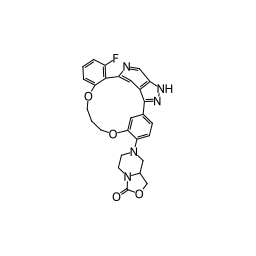 O=C1OCC2CN(c3ccc4cc3OCCCOc3cccc(F)c3-c3cc5c-4n[nH]c5cn3)CCN12